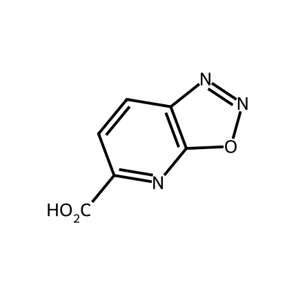 O=C(O)c1ccc2nnoc2n1